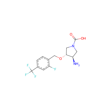 N[C@@H]1CN(C(=O)O)C[C@H]1OCc1ccc(C(F)(F)F)cc1F